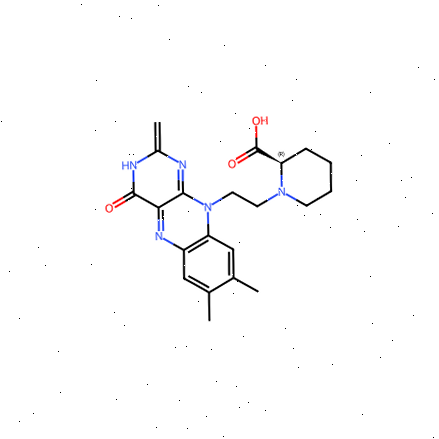 C=c1nc2c(c(=O)[nH]1)=Nc1cc(C)c(C)cc1N2CCN1CCCC[C@@H]1C(=O)O